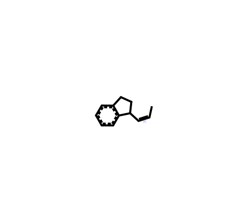 C/C=C\C1CCc2ccccc21